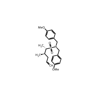 C=CC[C@@H](C)[C@H](C)S(=O)(=O)N(Cc1ccc(OC)cc1)Cc1ccc(OC)cc1